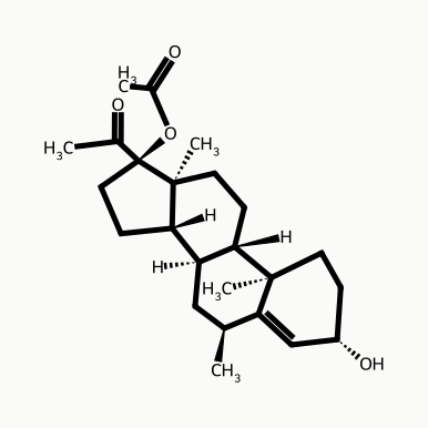 CC(=O)O[C@]1(C(C)=O)CC[C@H]2[C@@H]3C[C@H](C)C4=C[C@@H](O)CC[C@]4(C)[C@H]3CC[C@@]21C